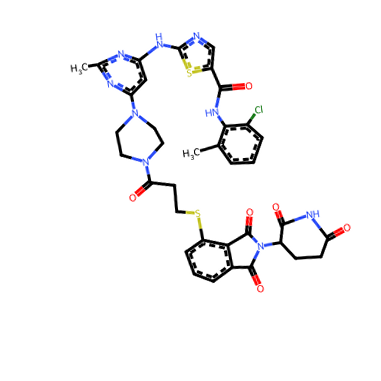 Cc1nc(Nc2ncc(C(=O)Nc3c(C)cccc3Cl)s2)cc(N2CCN(C(=O)CCSc3cccc4c3C(=O)N(C3CCC(=O)NC3=O)C4=O)CC2)n1